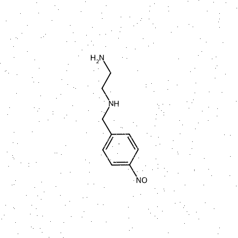 NCCNCc1ccc(N=O)cc1